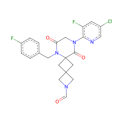 O=CN1CC2(C1)CC1(C2)C(=O)N(c2ncc(Cl)cc2F)CC(=O)N1Cc1ccc(F)cc1